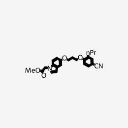 CCCc1cc(C#N)ccc1OCCCOc1ccc2c(ccn2CC(=O)OC)c1